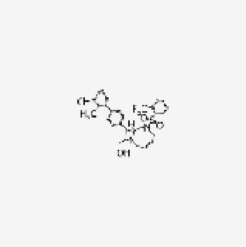 Cc1c(Cl)cccc1-c1ccc([C@@H]2C(CO)N3C/C=C\CN(S(=O)(=O)c4ccccc4C(F)(F)F)C[C@@H]23)cc1